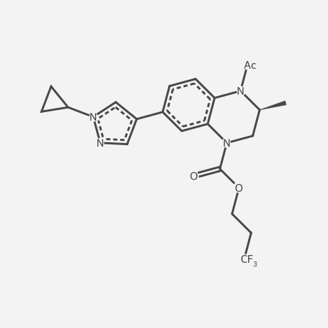 CC(=O)N1c2ccc(-c3cnn(C4CC4)c3)cc2N(C(=O)OCCC(F)(F)F)C[C@@H]1C